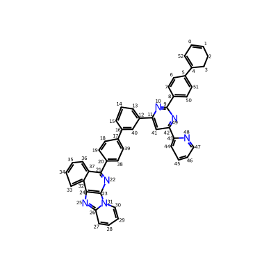 C1=CCCC(c2ccc(-c3nc(-c4cccc(-c5ccc(-c6nc7c(nc8ccccn87)c7ccccc67)cc5)c4)cc(-c4ccccn4)n3)cc2)=C1